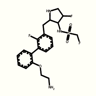 NCCOc1ccccc1-c1cccc(CC2NCC(F)C2NS(=O)(=O)CF)c1F